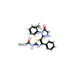 COC(=O)Nc1nc(-c2ccccc2)c(C2NCC(=O)N2c2ccccc2C)s1